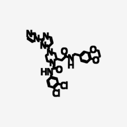 O=C(CC1CN(c2ccnc(-n3ccnc3)n2)CCN1C(=O)Nc1ccc(Cl)c(Cl)c1)NCc1ccc2c(c1)OCCO2